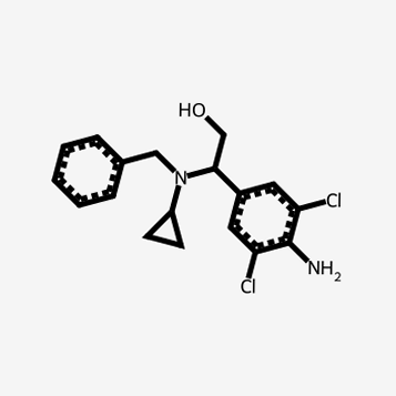 Nc1c(Cl)cc(C(CO)N(Cc2ccccc2)C2CC2)cc1Cl